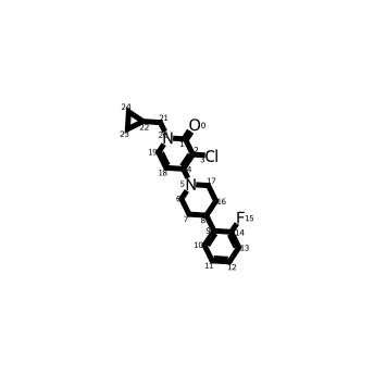 O=c1c(Cl)c(N2CCC(c3ccccc3F)CC2)ccn1CC1CC1